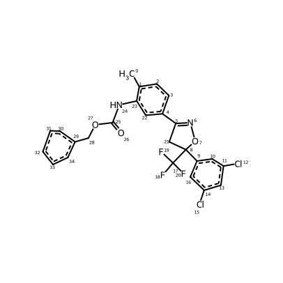 Cc1ccc(C2=NOC(c3cc(Cl)cc(Cl)c3)(C(F)(F)F)C2)cc1NC(=O)OCc1ccccc1